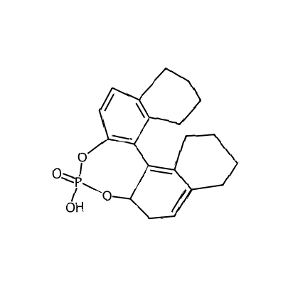 O=P1(O)Oc2ccc3c(c2C2=C4CCCCC4=CCC2O1)CCCC3